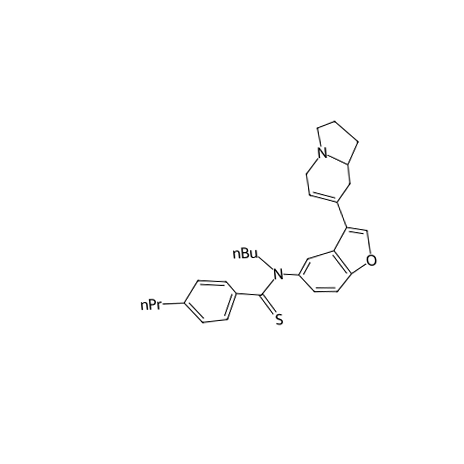 CCCCN(C(=S)c1ccc(CCC)cc1)c1ccc2occ(C3=CCN4CCCC4C3)c2c1